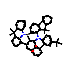 Cc1cc2c3c(c1)N(c1ccc(C(C)(C)C)cc1-c1ccccc1)c1c(ccc4c1C(C)(C)c1ccccc1-4)B3N1c3ccccc3C(C)(C)c3cccc-2c31